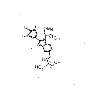 CCC(COC)n1c(-c2cc(C)c(=O)n(C)c2)nc2cc(CN[C@H](C(=O)O)[C@@H](C)O)ccc21.Cl